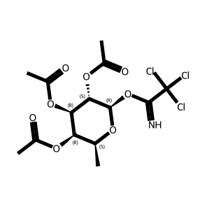 CC(=O)O[C@H]1[C@H](OC(C)=O)[C@@H](OC(=N)C(Cl)(Cl)Cl)O[C@@H](C)[C@H]1OC(C)=O